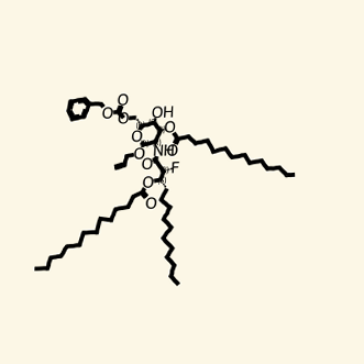 C=CCO[C@@H]1O[C@H](COC(=O)OCc2ccccc2)[C@@H](O)[C@H](OC(=O)CCCCCCCCCCCCC)[C@H]1NC(=O)[C@H](F)[C@H](CCCCCCCCCCC)OC(=O)CCCCCCCCCCCCC